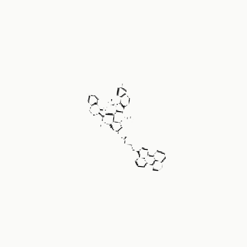 CC1=C2CCc3cc(Br)ccc3C2=[N+]2C1=C(c1c(C)cc(OC(=O)CCCC3=C4C=CC=C5C6=c7c(cccc7=C(C=C3)C54)CC=C6)cc1C)c1c(C)c3c(n1[B-]2(F)F)-c1ccc(Br)cc1CC3